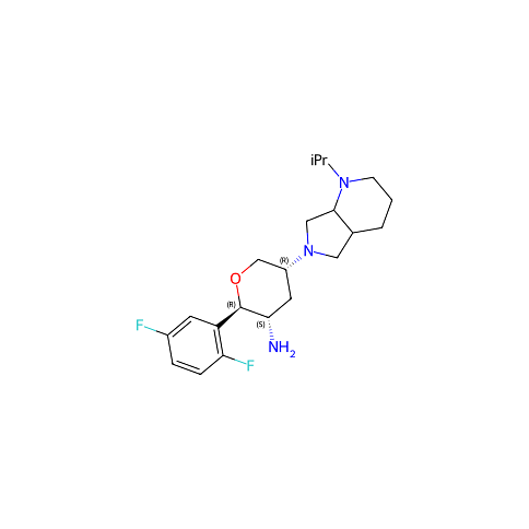 CC(C)N1CCCC2CN([C@H]3CO[C@H](c4cc(F)ccc4F)[C@@H](N)C3)CC21